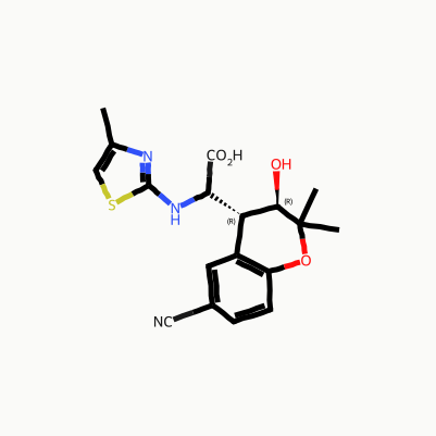 Cc1csc(NC(C(=O)O)[C@H]2c3cc(C#N)ccc3OC(C)(C)[C@@H]2O)n1